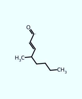 CCCCC(C)C=C[C]=O